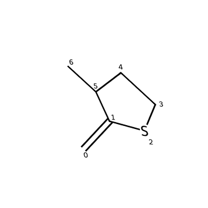 C=C1SCCC1C